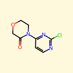 O=C1COCCN1c1ccnc(Cl)n1